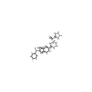 CC(c1ccccc1)c1nc2ccc(N3CCC[C@@H](C(=O)N4CCCC4)C3)nc2[nH]1